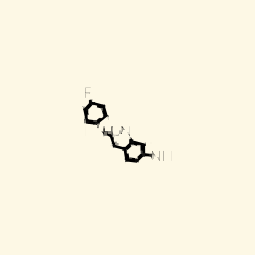 Nc1ccc(CC(=O)Nc2ccc(F)cc2)c(N)c1